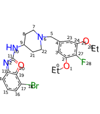 CCOc1cc(CN2CCC(Nc3nc4cccc(Br)c4o3)CC2)cc(OCC)c1F